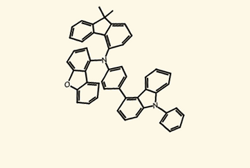 CC1(C)c2ccccc2-c2c(N(c3ccc(-c4cccc5c4c4ccccc4n5-c4ccccc4)cc3)c3cccc4oc5ccccc5c34)cccc21